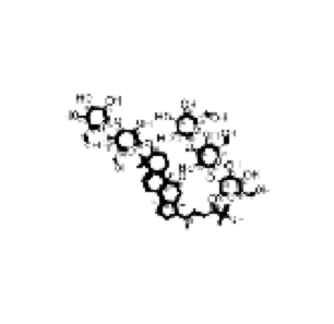 C[C@H](CC[C@@H](O[C@@H]1O[C@H](CO)[C@@H](O)[C@H](O)[C@H]1O[C@H]1O[C@@H](CO)[C@H](O)[C@@H](O[C@H]2O[C@@H](CO)[C@H](O)[C@@H](O)[C@@H]2O)[C@@H]1O)C(C)(C)O)C1CC[C@@]2(C)C3CC=C4C(CC[C@H](O[C@@H]5O[C@H](CO)[C@@H](O)[C@H](O[C@@H]6O[C@H](CO)[C@@H](O)[C@H](O)[C@H]6O)[C@H]5O)C4(C)C)[C@]3(C)[C@H](O)C[C@]12C